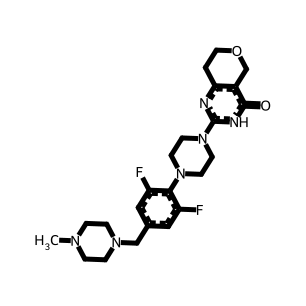 CN1CCN(Cc2cc(F)c(N3CCN(c4nc5c(c(=O)[nH]4)COCC5)CC3)c(F)c2)CC1